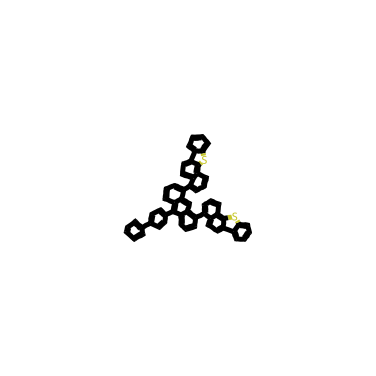 c1ccc(-c2ccc(-c3c4cccc(-c5cccc6c5ccc5c7ccccc7sc65)c4cc4c(-c5cccc6c5ccc5c7ccccc7sc65)cccc34)cc2)cc1